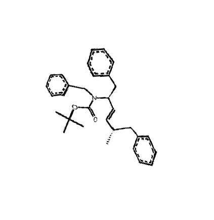 C[C@H](/C=C/[C@H](Cc1ccccc1)N(Cc1ccccc1)C(=O)OC(C)(C)C)Cc1ccccc1